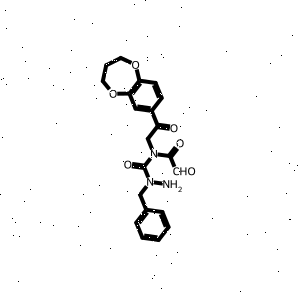 NN(Cc1ccccc1)C(=O)N(CC(=O)c1ccc2c(c1)OCCCO2)C(=O)C=O